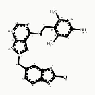 CCc1nc2cc(Cn3cc4c(NCc5c(C)cc(N)nc5C)ncnc4n3)ccc2s1